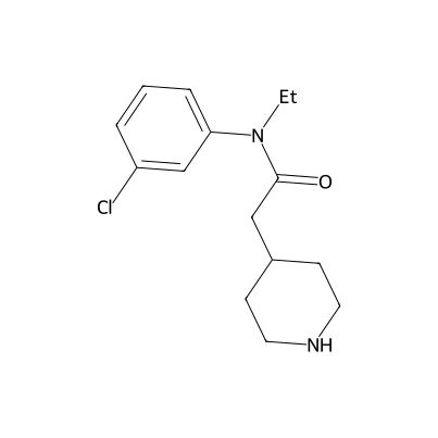 CCN(C(=O)CC1CCNCC1)c1cccc(Cl)c1